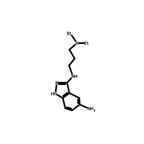 CCN(CC)CCCNc1n[nH]c2ccc(N)cc12